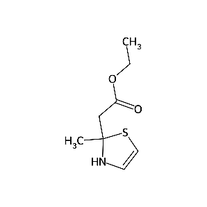 CCOC(=O)CC1(C)NC=CS1